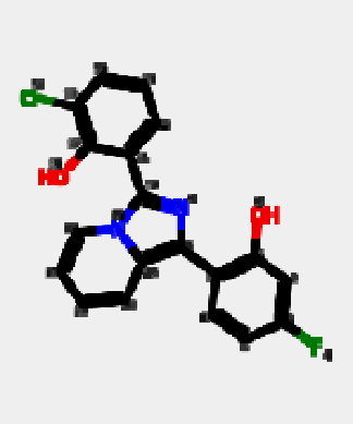 Oc1cc(F)ccc1-c1nc(-c2cccc(Cl)c2O)n2ccccc12